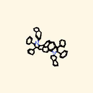 C1=C(n2c(-c3ccccc3)c(-c3ccccc3)c3cc4ccc5c6c(ccc(c46)c32)cc2c(-c3ccccc3)c(-c3ccccc3)n(-c3ccc4ccccc4c3)c25)CCc2ccccc21